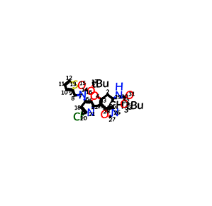 CC(Cc1oc2c(N(Cc3cccs3)C(=O)OC(C)(C)C)cc(Cl)nc2c1-c1cnco1)NC(=O)OC(C)(C)C